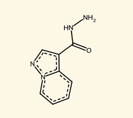 NNC(=O)c1cnn2ccccc12